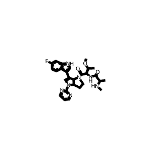 CNC(C)C(=O)NC(C(=O)N1CCC2C1C(c1c[nH]c3cc(F)ccc13)=CN2c1ncccn1)C(C)OC